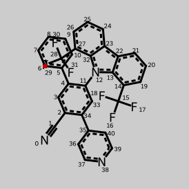 N#Cc1cc(-c2ccccc2)c(-n2c3c(C(F)(F)F)cccc3c3cccc(C(F)(F)F)c32)cc1-c1ccncc1